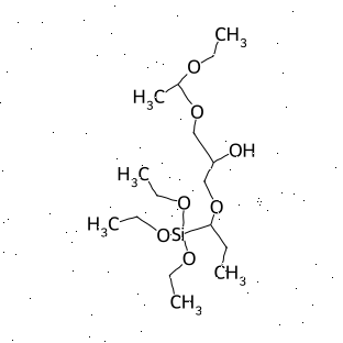 CCOC(C)OCC(O)COC(CC)[Si](OCC)(OCC)OCC